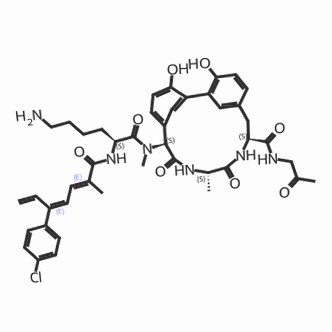 C=C/C(=C\C=C(/C)C(=O)N[C@@H](CCCCN)C(=O)N(C)[C@@H]1C(=O)N[C@@H](C)C(=O)N[C@H](C(=O)NCC(C)=O)Cc2ccc(O)c(c2)-c2cc1ccc2O)c1ccc(Cl)cc1